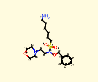 NCCCCCCS(=O)(=O)N(CCN1CCOCC1)OCc1ccccc1